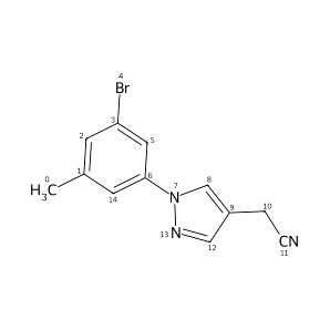 Cc1cc(Br)cc(-n2cc(CC#N)cn2)c1